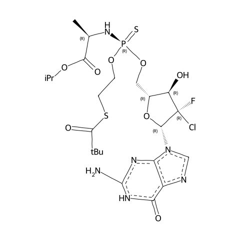 CC(C)OC(=O)[C@@H](C)N[P@](=S)(OCCSC(=O)C(C)(C)C)OC[C@H]1O[C@@H](n2cnc3c(=O)[nH]c(N)nc32)[C@](F)(Cl)[C@@H]1O